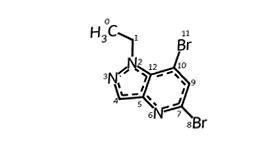 CCn1ncc2nc(Br)cc(Br)c21